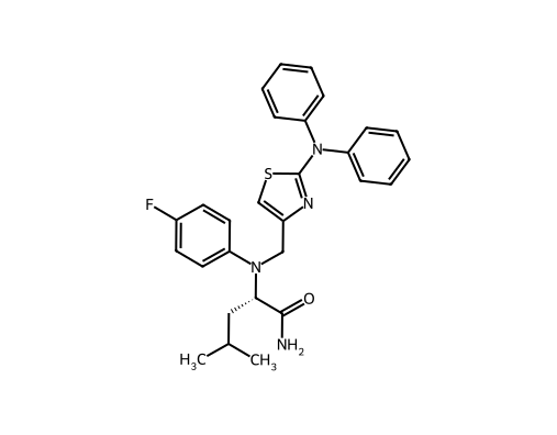 CC(C)C[C@@H](C(N)=O)N(Cc1csc(N(c2ccccc2)c2ccccc2)n1)c1ccc(F)cc1